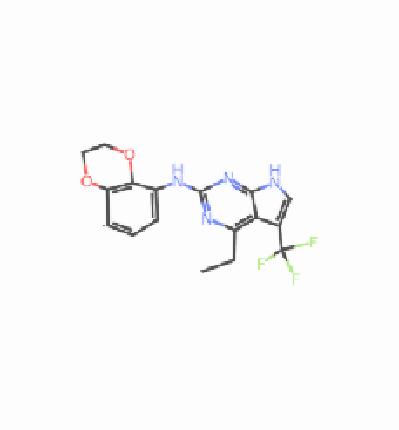 CCc1nc(Nc2cc[c]c3c2OCCO3)nc2[nH]cc(C(F)(F)F)c12